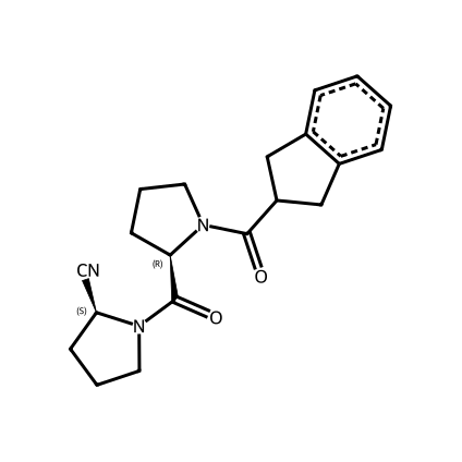 N#C[C@@H]1CCCN1C(=O)[C@H]1CCCN1C(=O)C1Cc2ccccc2C1